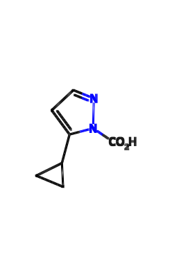 O=C(O)n1nccc1C1CC1